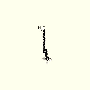 CCCCCCCCCCCCCCCc1ccc(OCc2cc(=O)[nH][nH]2)cc1